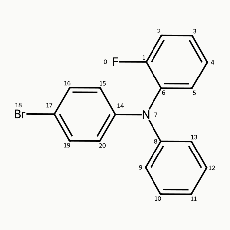 Fc1ccccc1N(c1ccccc1)c1ccc(Br)cc1